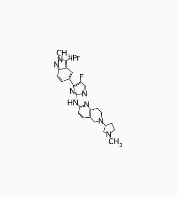 CC(C)c1c2cc(-c3nc(Nc4ccc5c(n4)CCN(C4CCN(C)C4)C5)ncc3F)ccc2nn1C